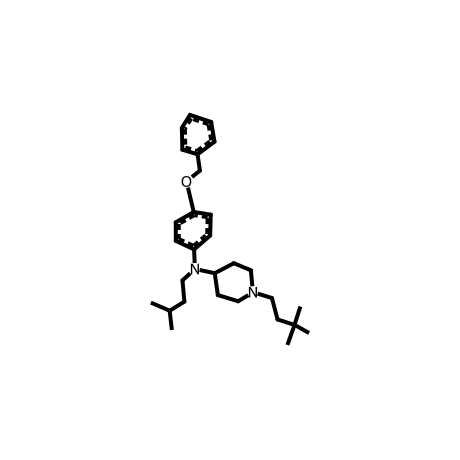 CC(C)CCN(c1ccc(OCc2ccccc2)cc1)C1CCN(CCC(C)(C)C)CC1